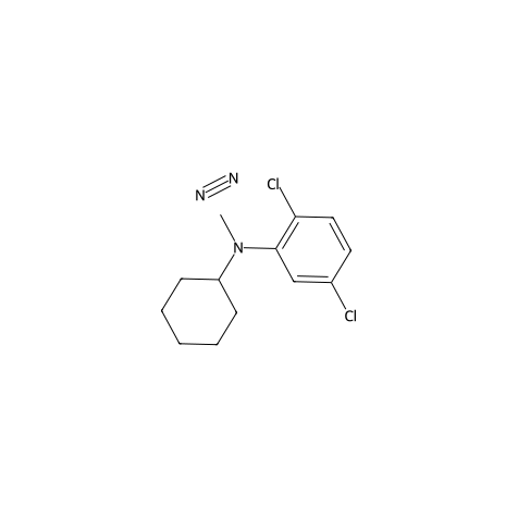 CN(c1cc(Cl)ccc1Cl)C1CCCCC1.N#N